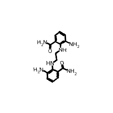 NC(=O)c1cccc(N)c1NCCNc1c(N)cccc1C(N)=O